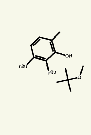 CCCCc1ccc(C)c(O)c1CCCC.COC(C)(C)C